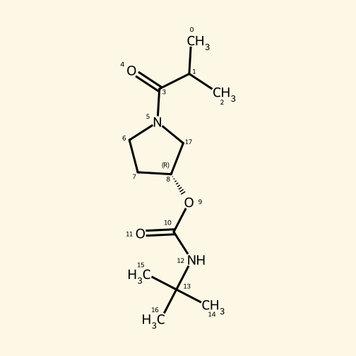 CC(C)C(=O)N1CC[C@@H](OC(=O)NC(C)(C)C)C1